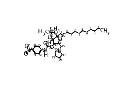 CCCCCCCCCCOC[C@@]12O[C@@H](CN3CCCC3)[C@@H](OC(=O)Nc3ccc([N+](=O)[O-])cc3)[C@@H]1OC(C)(C)O2